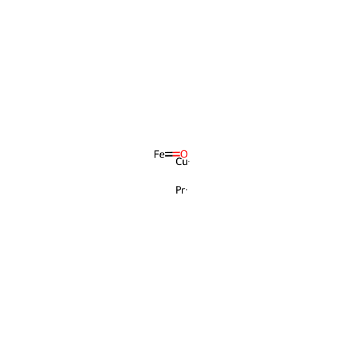 [Cu].[O]=[Fe].[Pr]